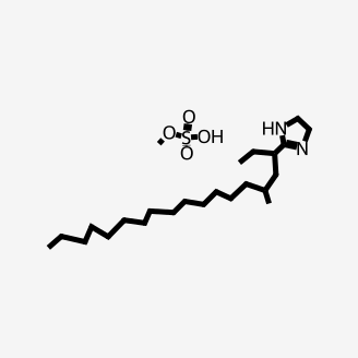 CCCCCCCCCCCCCCC(C)CC(CC)C1=NCCN1.COS(=O)(=O)O